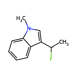 C[C](F)c1cn(C)c2ccccc12